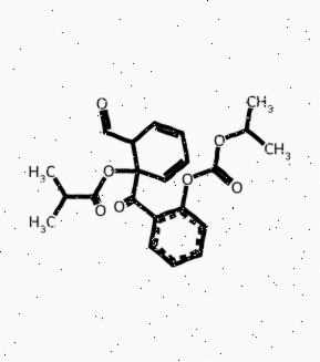 CC(C)OC(=O)Oc1ccccc1C(=O)C1(OC(=O)C(C)C)C=CC=CC1[C]=O